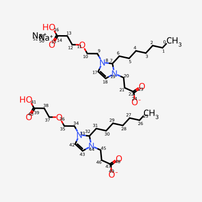 CCCCCCCC1N(CCOCCC(=O)O)C=CN1CCC(=O)[O-].CCCCCCCC1N(CCOCCC(=O)O)C=CN1CCC(=O)[O-].[Na+].[Na+]